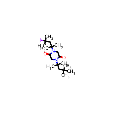 CC(C)(C)CC(C)(C)N1CC(=O)N(C(C)(C)CC(C)(C)I)CC1=O